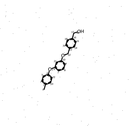 Cc1ccc(Oc2cccc(OCc3ccc(CO)cc3)c2)cc1